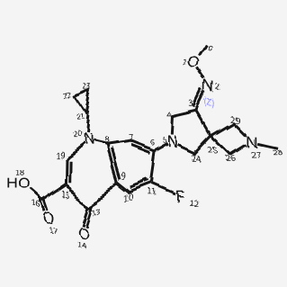 CO/N=C1\CN(c2cc3c(cc2F)c(=O)c(C(=O)O)cn3C2CC2)CC12CN(C)C2